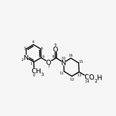 Cc1ncccc1OC(=O)N1CCC(C(=O)O)CC1